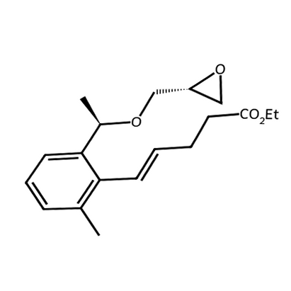 CCOC(=O)CC/C=C/c1c(C)cccc1[C@@H](C)OC[C@H]1CO1